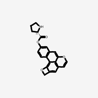 O=C(Oc1ccc2c(c1)cc1c3c(cc4c(c32)OC4)C=CO1)[C@@H]1CCCN1